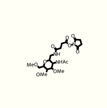 COCC1OC(CNC(=O)CCC(=O)ON2C(=O)CCC2=O)C(NC(C)=O)C(OC)C1OC